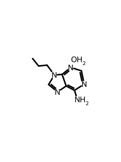 CCCn1cnc2c(N)ncnc21.O